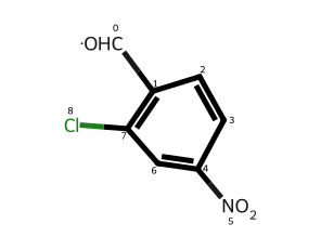 O=[C]c1ccc([N+](=O)[O-])cc1Cl